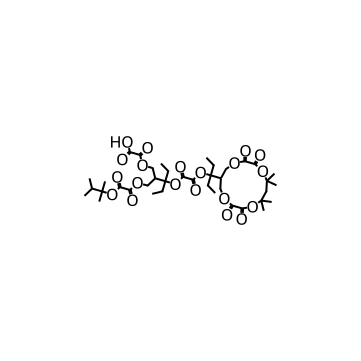 CCC(CC)(OC(=O)C(=O)OC(CC)(CC)C(COC(=O)C(=O)O)COC(=O)C(=O)OC(C)(C)C(C)C)C1COC(=O)C(=O)OC(C)(C)CC(C)(C)OC(=O)C(=O)OC1